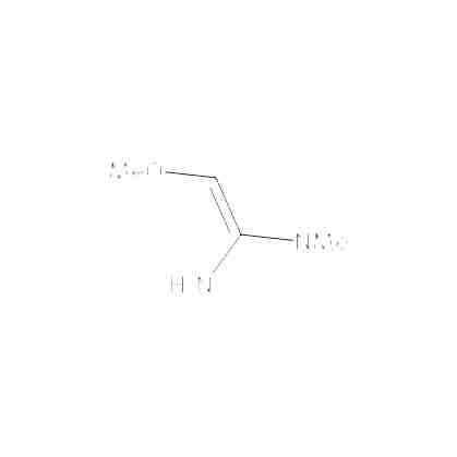 CN/C(N)=C/OC